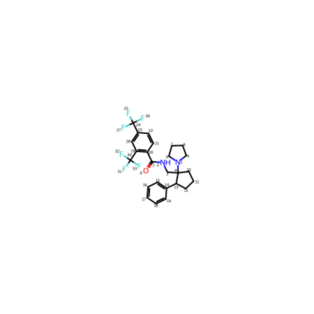 O=C(NCC1(N2CCCC2)CCCC1c1ccccc1)c1ccc(C(F)(F)F)cc1C(F)(F)F